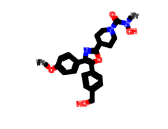 CC(C)Oc1ccc(-c2nc(C3CCN(C(=O)N(O)C(C)C)CC3)oc2-c2ccc(CO)cc2)cc1